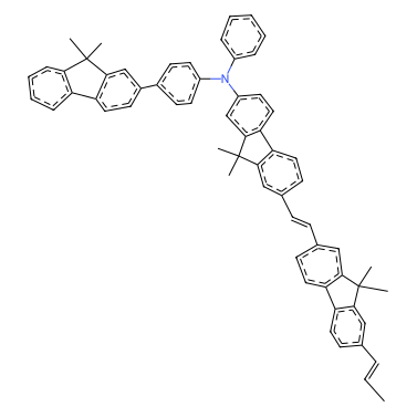 C/C=C/c1ccc2c(c1)C(C)(C)c1cc(/C=C/c3ccc4c(c3)C(C)(C)c3cc(N(c5ccccc5)c5ccc(-c6ccc7c(c6)C(C)(C)c6ccccc6-7)cc5)ccc3-4)ccc1-2